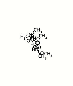 CCCc1nc(C)c2c(=O)[nH]c(-c3cc(S(=O)(=O)NCCC(C)OCC)ccc3OCC)nn12